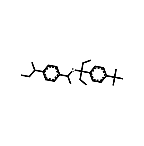 CCC(C)c1ccc(C(C)SC(CC)(CC)c2ccc(C(C)(C)C)cc2)cc1